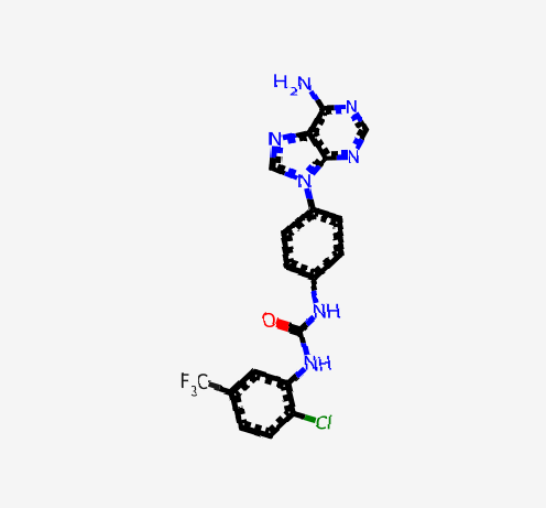 Nc1ncnc2c1ncn2-c1ccc(NC(=O)Nc2cc(C(F)(F)F)ccc2Cl)cc1